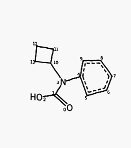 O=C(O)N(c1ccccc1)C1CCC1